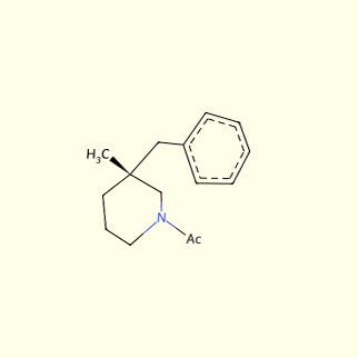 CC(=O)N1CCC[C@](C)(Cc2ccccc2)C1